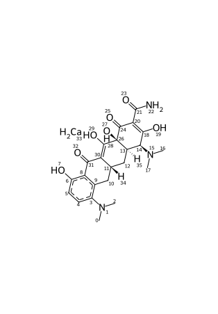 CN(C)c1ccc(O)c2c1C[C@H]1C[C@@H]3[C@H](N(C)C)C(O)=C(C(N)=O)C(=O)[C@@]3(O)C(O)=C1C2=O.[CaH2]